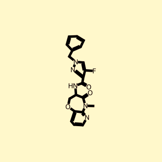 CN1C(=O)C(NC(=O)c2nn(Cc3ccccc3)cc2F)COc2cccnc21